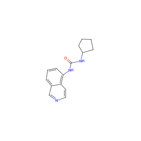 O=C(Nc1cccc2cnccc12)NC1CCCC1